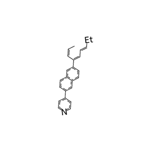 C\C=C/C(=C\C=C\CC)c1ccc2cc(-c3ccncc3)ccc2c1